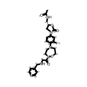 CC(=O)NC[C@H]1CN(c2ccc(N3CCON(C(=O)CNCc4ccncc4)CC3)c(F)c2)C(=O)O1